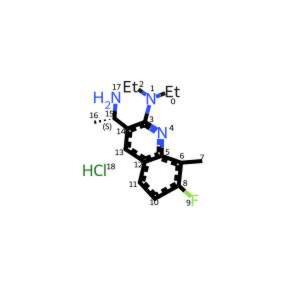 CCN(CC)c1nc2c(C)c(F)ccc2cc1[C@H](C)N.Cl